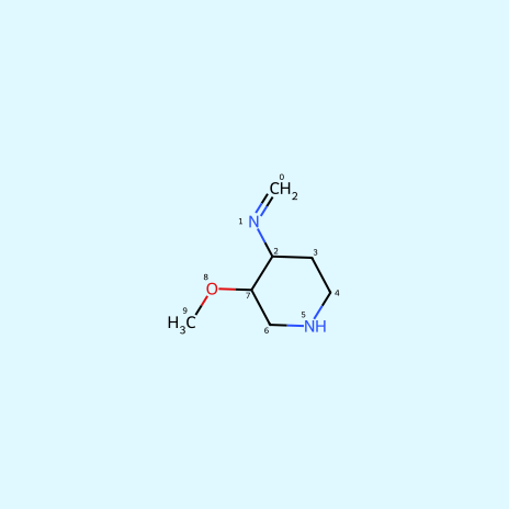 C=NC1CCNCC1OC